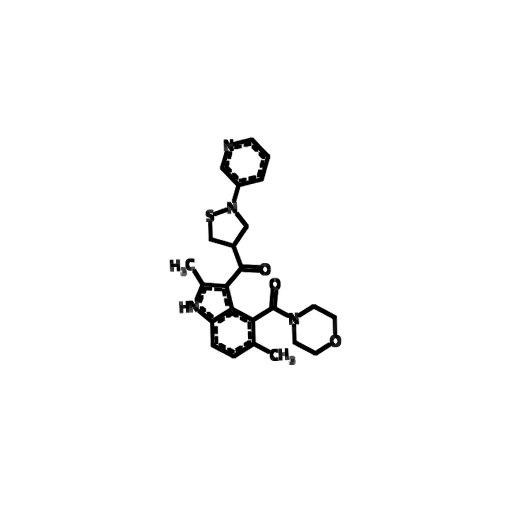 Cc1ccc2[nH]c(C)c(C(=O)C3CSN(c4cccnc4)C3)c2c1C(=O)N1CCOCC1